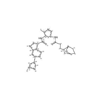 Cc1ncc(NC(=O)CCN2CC3CCC2C3)cc1NC(=O)c1cnn2cc(-c3cnn(C)c3)ncc12